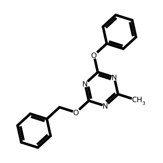 Cc1nc(OCc2ccccc2)nc(Oc2ccccc2)n1